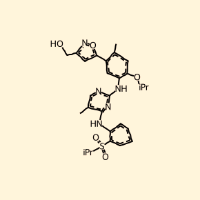 Cc1cc(OC(C)C)c(Nc2ncc(C)c(Nc3ccccc3S(=O)(=O)C(C)C)n2)cc1-c1cc(CO)no1